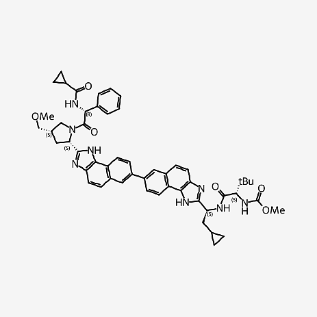 COC[C@H]1C[C@@H](c2nc3ccc4cc(-c5ccc6c(ccc7nc([C@H](CC8CC8)NC(=O)[C@@H](NC(=O)OC)C(C)(C)C)[nH]c76)c5)ccc4c3[nH]2)N(C(=O)[C@H](NC(=O)C2CC2)c2ccccc2)C1